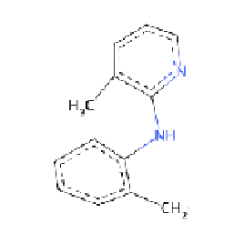 [CH2]c1ccccc1Nc1ncccc1C